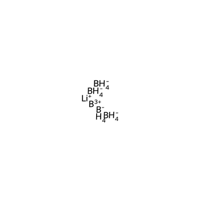 [B+3].[BH4-].[BH4-].[BH4-].[BH4-].[Li+]